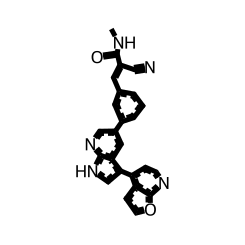 CNC(=O)/C(C#N)=C/c1cccc(-c2cnc3[nH]cc(-c4ccnc5occc45)c3c2)c1